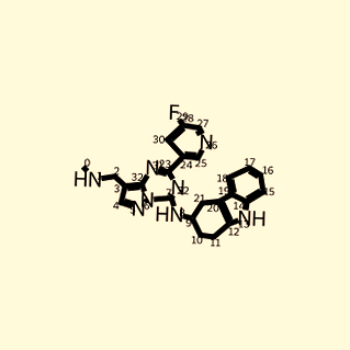 CNCc1cnn2c(NC3CCc4[nH]c5ccccc5c4C3)nc(-c3cncc(F)c3)nc12